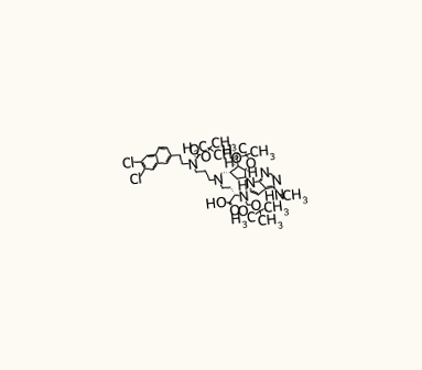 CNc1ncnc2c1ccn2[C@@H]1C[C@H](CN(CCCN(CCc2ccc3cc(Cl)c(Cl)cc3c2)C(=O)OC(C)(C)C)CC[C@H](NC(=O)OC(C)(C)C)C(=O)O)[C@H]2OC(C)(C)O[C@H]21